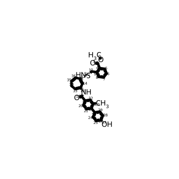 COC(=O)c1ccccc1CSNC1=CC(NC(=O)c2ccc(-c3ccc(O)cc3)c(C)c2)=CCC=C1